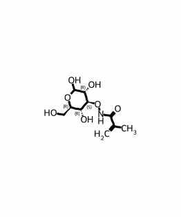 C=C(C)C(=O)NO[C@H]1[C@H](O)[C@@H](CO)OC(O)[C@@H]1O